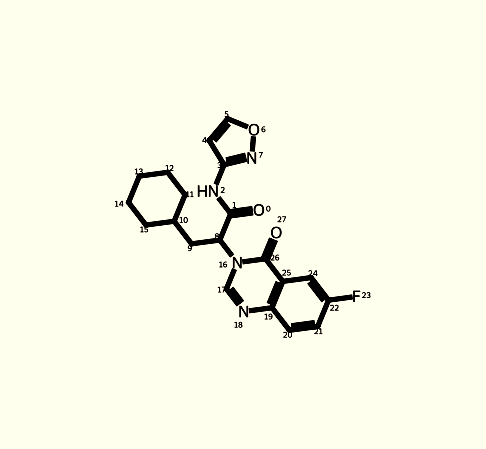 O=C(Nc1ccon1)C(CC1CCCCC1)n1cnc2ccc(F)cc2c1=O